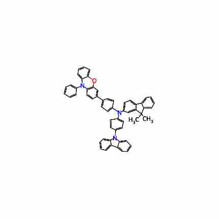 CC1(C)c2ccccc2-c2ccc(N(c3ccc(-c4ccc5c(c4)Oc4ccccc4N5c4ccccc4)cc3)c3ccc(-n4c5ccccc5c5ccccc54)cc3)cc21